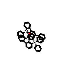 c1ccc(-c2cc(-n3c4ccccc4c4cccc([Si](c5ccccc5)(c5ccccc5)c5ccccc5)c43)c3c(c2)c2ccccc2n3-c2ccccc2)cc1